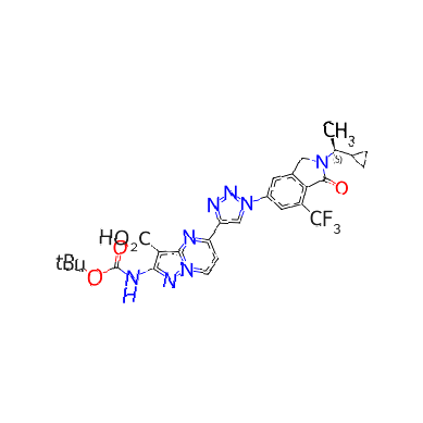 C[C@@H](C1CC1)N1Cc2cc(-n3cc(-c4ccn5nc(NC(=O)OC(C)(C)C)c(C(=O)O)c5n4)nn3)cc(C(F)(F)F)c2C1=O